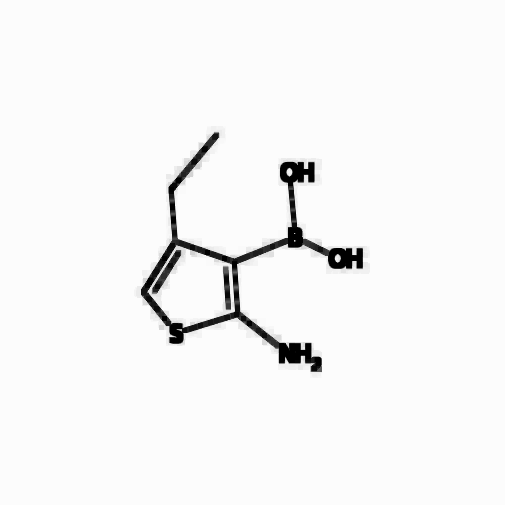 CCc1csc(N)c1B(O)O